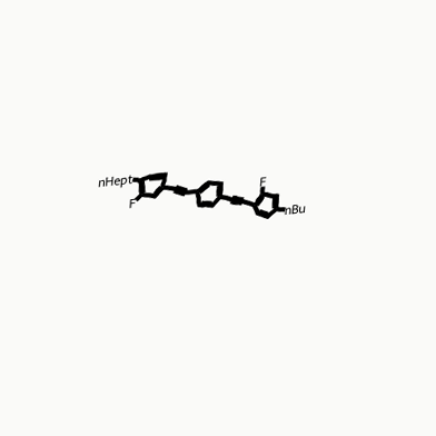 CCCCCCCc1ccc(C#Cc2ccc(C#Cc3ccc(CCCC)cc3F)cc2)cc1F